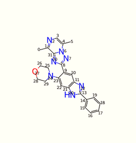 Cc1ncc(C)n2nc(-c3cc4nc(-c5ccccc5)[nH]c4cc3N3CCOCC3)nc12